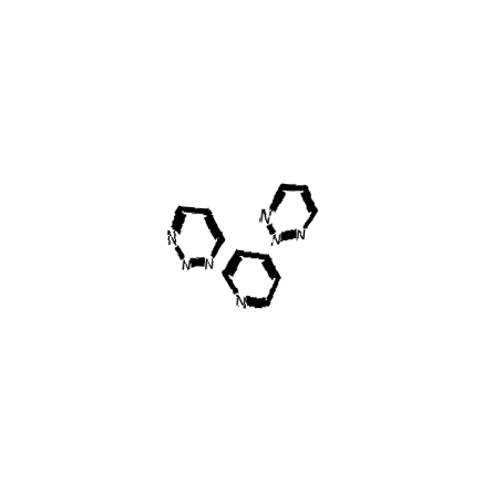 c1ccncc1.c1cnnnc1.c1cnnnc1